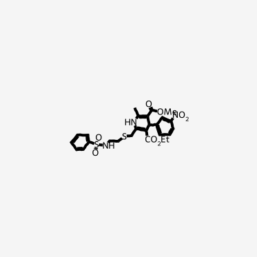 CCOC(=O)C1=C(CSCCNS(=O)(=O)c2ccccc2)NC(C)=C(C(=O)OC)C1c1cccc([N+](=O)[O-])c1